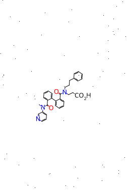 CN(C(=O)c1ccccc1-c1ccccc1C(=O)N(CCCc1ccccc1)CCC(=O)O)c1cccnc1